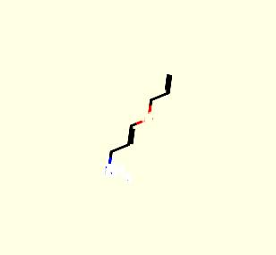 C=CCOC=CCN